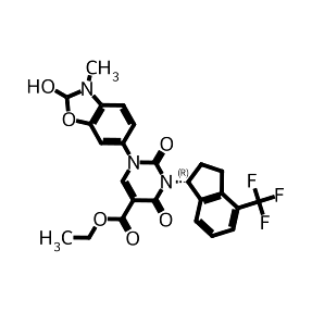 CCOC(=O)c1cn(-c2ccc3c(c2)OC(O)N3C)c(=O)n([C@@H]2CCc3c2cccc3C(F)(F)F)c1=O